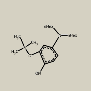 CCCCCCN(CCCCCC)c1ccc(N=O)c(O[Si](C)(C)C)c1